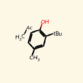 CC(C)=O.Cc1ccc(O)c(C(C)(C)C)c1